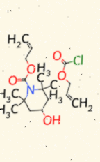 C=CCOC(=O)Cl.C=CCOC(=O)N1C(C)(C)CC(O)CC1(C)C